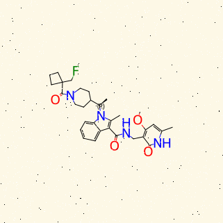 COc1cc(C)[nH]c(=O)c1CNC(=O)c1c(C)n([C@H](C)C2CCN(C(=O)C3(CF)CCC3)CC2)c2ccccc12